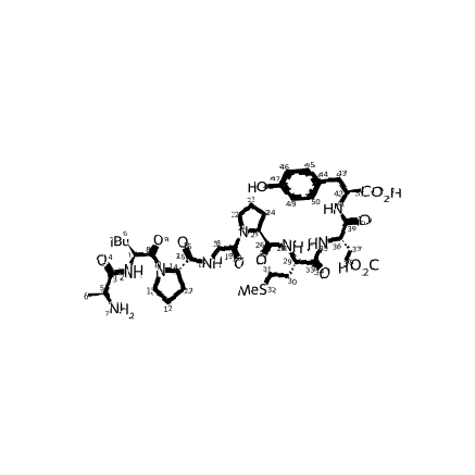 CC[C@H](C)[C@H](NC(=O)[C@H](C)N)C(=O)N1CCC[C@H]1C(=O)NCC(=O)N1CCC[C@H]1C(=O)N[C@@H](CCSC)C(=O)N[C@@H](CC(=O)O)C(=O)N[C@@H](Cc1ccc(O)cc1)C(=O)O